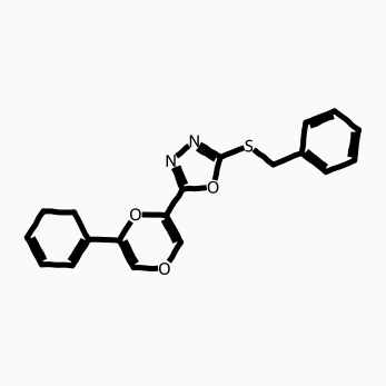 C1=CCCC(C2=COC=C(c3nnc(SCc4ccccc4)o3)O2)=C1